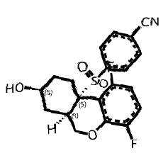 N#Cc1ccc(S(=O)(=O)[C@@]23CC[C@H](O)C[C@@H]2COc2c(F)ccc(F)c23)cc1